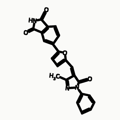 CC1=NN(c2ccccc2)C(=O)C1=Cc1ccc(-c2ccc3c(c2)C(=O)NC3=O)o1